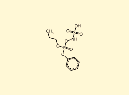 CCCOP(=O)(ONS(=O)(=O)O)Oc1ccccc1